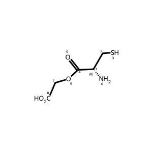 N[C@@H](CS)C(=O)OCC(=O)O